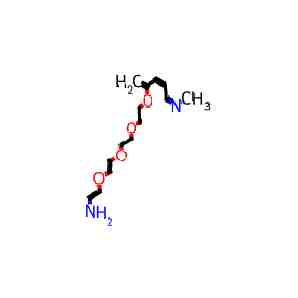 C=C(/C=C\C=N/C)OCCOCCOCCOCCN